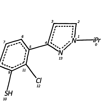 CC(C)n1ccc(-c2cccc(S)c2Cl)n1